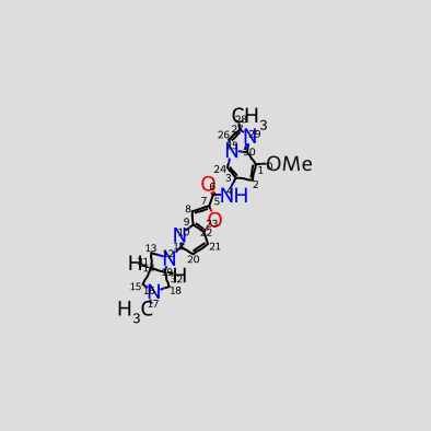 COc1cc(NC(=O)c2cc3nc(N4C[C@H]5CN(C)C[C@H]54)ccc3o2)cn2cc(C)nc12